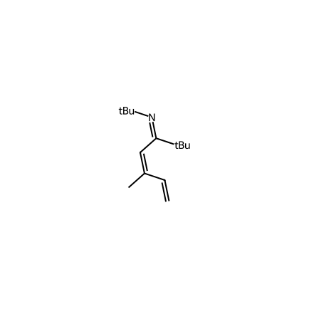 C=C/C(C)=C\C(=N/C(C)(C)C)C(C)(C)C